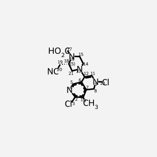 Cc1c(Cl)ncc2c1CN(Cl)C=C2N1CCN(C(=O)O)[C@@H](CC#N)C1